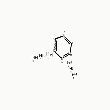 [HH].[HH].[HH].[HH].[HH].[HH].c1cnccn1